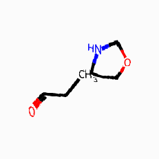 C1COCN1.CCC=O